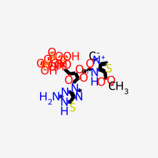 [C-]#[N+]c1csc(C(=O)OC)c1NC(=O)[C@@H]1OC2C(COP(=O)(O)OP(=O)(O)OP(=O)(O)O)OC(n3cnc4c(=S)[nH]c(N)nc43)C2O1